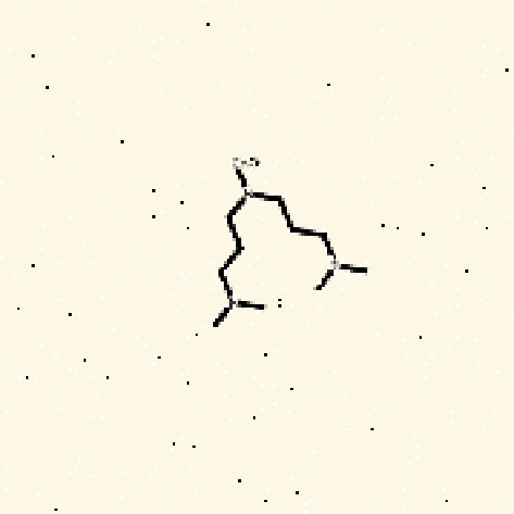 CN(C)CCCN([C]=O)CCCN(C)C